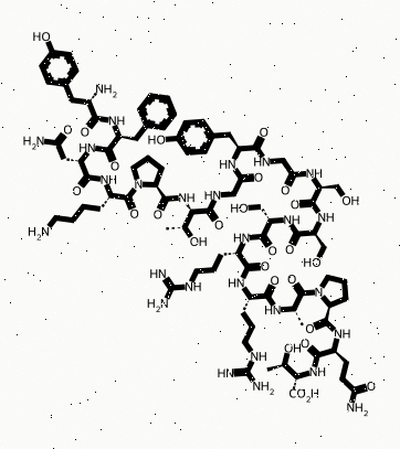 C[C@H](NC(=O)[C@H](CCCNC(=N)N)NC(=O)[C@H](CCCNC(=N)N)NC(=O)[C@H](CO)NC(=O)[C@H](CO)NC(=O)[C@H](CO)NC(=O)CNC(=O)[C@H](Cc1ccc(O)cc1)NC(=O)CNC(=O)[C@@H](NC(=O)[C@@H]1CCCN1C(=O)[C@H](CCCCN)NC(=O)[C@H](CC(N)=O)NC(=O)[C@H](Cc1ccccc1)NC(=O)[C@@H](N)Cc1ccc(O)cc1)[C@@H](C)O)C(=O)N1CCC[C@H]1C(=O)N[C@@H](CCC(N)=O)C(=O)N[C@H](C(=O)O)[C@@H](C)O